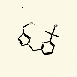 CNCc1ccn(Cc2cccc(C(C)(C)O)n2)c1